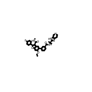 CCOc1cc2oc(-c3ccc(F)cc3)c(C(=O)NC)c2cc1-c1cccc(C(=O)NC(C)(C)c2nc3ccncc3[nH]2)c1